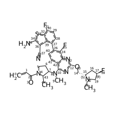 C=CC(=O)N1CCC(N(C)c2nc(OC[C@@H]3C[C@@H](F)CN3C)nc3c(F)c(-c4ccc(F)c5sc(N)c(C#N)c45)ccc23)C1C